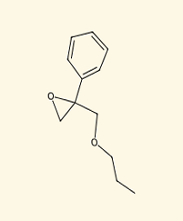 CCCOCC1(c2ccccc2)CO1